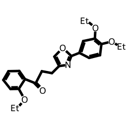 CCOc1ccc(-c2nc(CCC(=O)c3ccccc3OCC)co2)cc1OCC